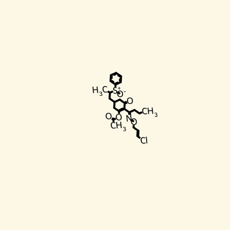 CCC/C(=N\OC/C=C/Cl)C1=C(OC(C)=O)CC(CC(C)[S+]([O-])c2ccccc2)CC1=O